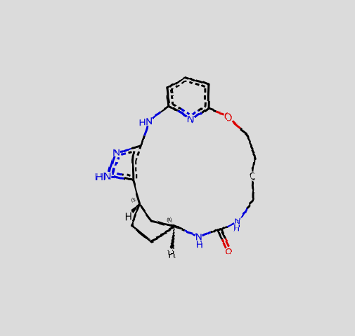 O=C1NCCCCOc2cccc(n2)Nc2cc([nH]n2)[C@H]2CC[C@H](C2)N1